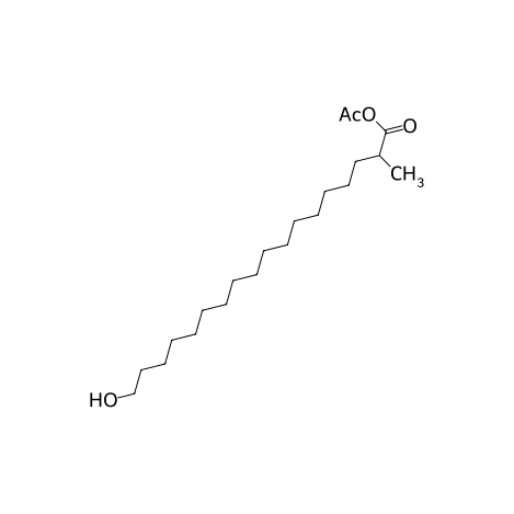 CC(=O)OC(=O)C(C)CCCCCCCCCCCCCCCCO